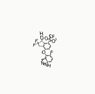 O=S(=O)(c1ccc(Oc2c(F)ccc3[nH]ncc23)c2c1[C@H](O)C(F)(F)C2)C(F)(F)F